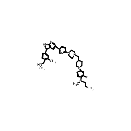 CCCN(C)c1ccc(N2CCC(CN3CCN(c4ccc(-c5cnc6[nH]nc(-c7ccc(CNC)c(C)c7)c6c5)cn4)CC3)CC2)cc1F